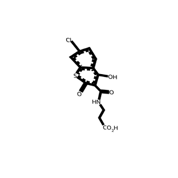 O=C(O)CCNC(=O)c1c(O)c2ccc(Cl)cc2sc1=O